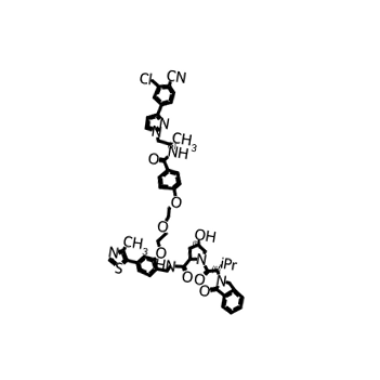 Cc1ncsc1-c1ccc(CNC(=O)C2C[C@@H](O)CN2C(=O)[C@H](C(C)C)N2Cc3ccccc3C2=O)c(OCCOCCOc2ccc(C(=O)N[C@@H](C)Cn3ccc(-c4ccc(C#N)c(Cl)c4)n3)cc2)c1